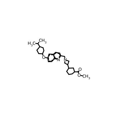 COC(=O)C1CCCC(C2CN(Cc3ccc4cc(OC5CCC(C(C)C)CC5)ccc4n3)C2)C1